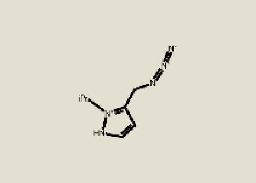 CC(C)[n+]1[nH]ccc1CN=[N+]=[N-]